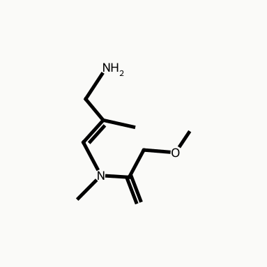 C=C(COC)N(C)/C=C(\C)CN